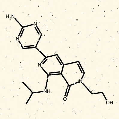 CC(C)Nc1nc(-c2cnc(N)nc2)cc2ccn(CCO)c(=O)c12